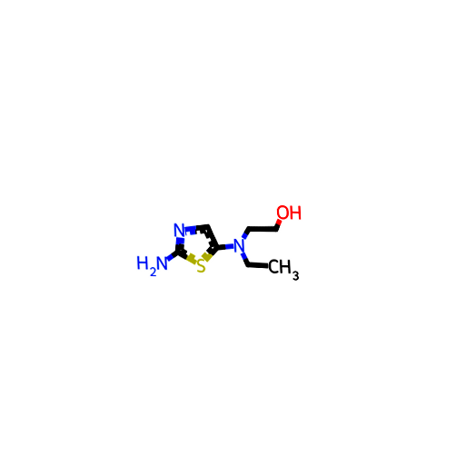 CCN(CCO)c1cnc(N)s1